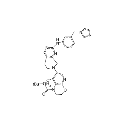 Cc1c(N2CCc3cnc(Nc4cccc(Cn5ccnc5)c4)nc3C2)cnc2c1N(C(=O)OC(C)(C)C)CCO2